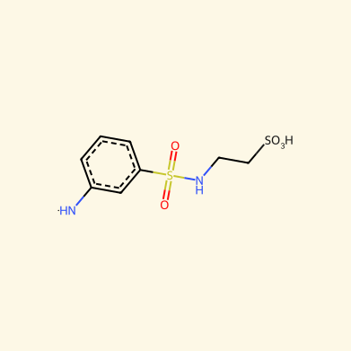 [NH]c1cccc(S(=O)(=O)NCCS(=O)(=O)O)c1